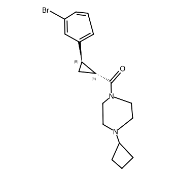 O=C([C@@H]1C[C@H]1c1cccc(Br)c1)N1CCN(C2CCC2)CC1